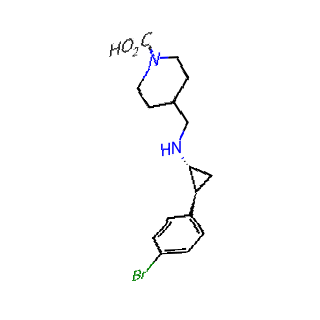 O=C(O)N1CCC(CN[C@@H]2C[C@H]2c2ccc(Br)cc2)CC1